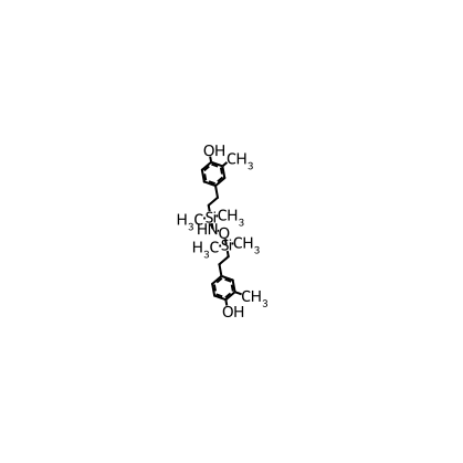 Cc1cc(CC[Si](C)(C)NO[Si](C)(C)CCc2ccc(O)c(C)c2)ccc1O